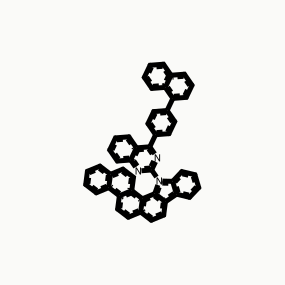 c1ccc2c(-c3ccc(-c4nc(-n5c6ccccc6c6ccc7ccc8c9ccccc9ccc8c7c65)nc5ccccc45)cc3)cccc2c1